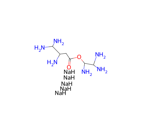 NC(N)C(N)CC(=O)OC(N)C(N)N.[NaH].[NaH].[NaH].[NaH].[NaH]